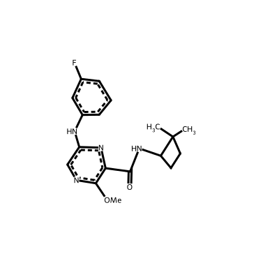 COc1ncc(Nc2cccc(F)c2)nc1C(=O)NC1CCC1(C)C